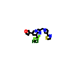 Cl.FC(F)(F)c1cc(-c2ccoc2)cn2cc(CN3CC=C(c4nccs4)C3)nc12